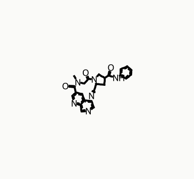 CN(CC(=O)N1CC(C(=O)Nc2ccccc2)CC1C#N)C(=O)c1cnc2cnccc2c1